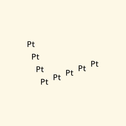 [Pt].[Pt].[Pt].[Pt].[Pt].[Pt].[Pt].[Pt]